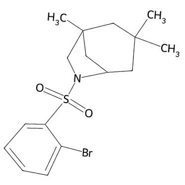 CC1(C)CC2CC(C)(CN2S(=O)(=O)c2ccccc2Br)C1